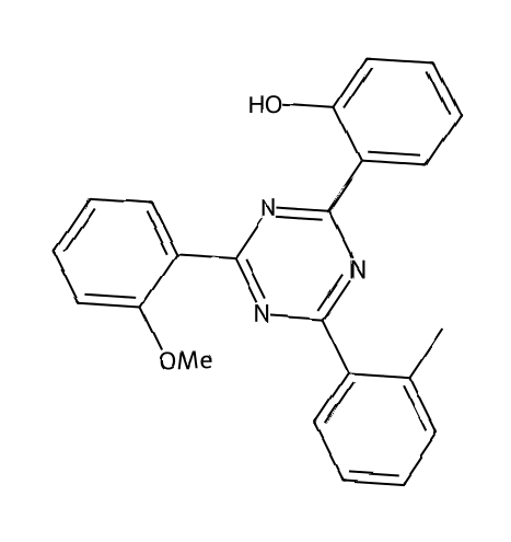 COc1ccccc1-c1nc(-c2ccccc2C)nc(-c2ccccc2O)n1